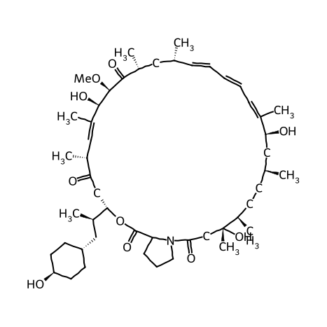 CO[C@H]1C(=O)[C@H](C)C[C@H](C)/C=C/C=C/C=C(\C)[C@@H](O)C[C@@H](C)CC[C@@H](C)[C@](C)(O)CC(=O)N2CCCC2C(=O)O[C@H]([C@H](C)C[C@H]2CC[C@H](O)CC2)CC(=O)[C@H](C)/C=C(\C)[C@H]1O